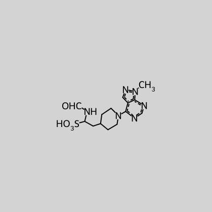 Cn1ncc2c(N3CCC(CC(NC=O)S(=O)(=O)O)CC3)ncnc21